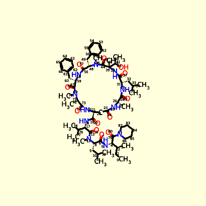 CC[C@H](C)[C@H](NC(=O)[C@H](CC(C)C)N(C)C(=O)[C@@H](NC(=O)[C@@H]1CC(=O)N[C@@H](C)C(=O)N[C@@H](CC(C)C)C(=O)N[C@@](C)([C@@H](C)O)C(=O)N(C)[C@@H](Cc2ccccc2)C(=O)N[C@@H](Cc2ccccc2)C(=O)N(C)[C@@H](C)C(=O)N1)C(C)C)C(=O)N1CCCCC1